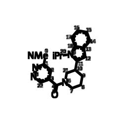 CNc1cc(C(=O)N2CCCC(c3cc4ccccc4n3C(C)C)C2)cnn1